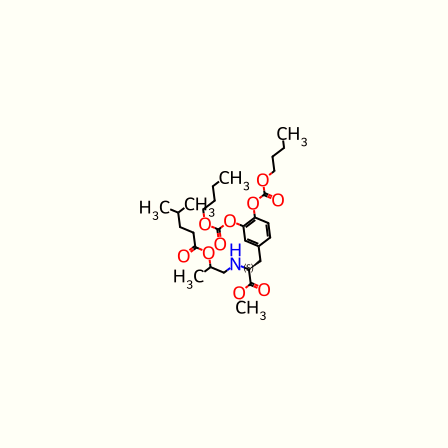 CCCCOC(=O)Oc1ccc(C[C@H](NCC(C)OC(=O)CCC(C)C)C(=O)OC)cc1OC(=O)OCCCC